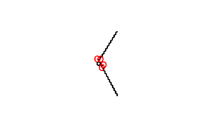 CCCCCCCCCCCCCCCCCCCCOC(=O)C1CCCC(C(=O)OCCCCCCCCCCCCCCCCCCCC)C1